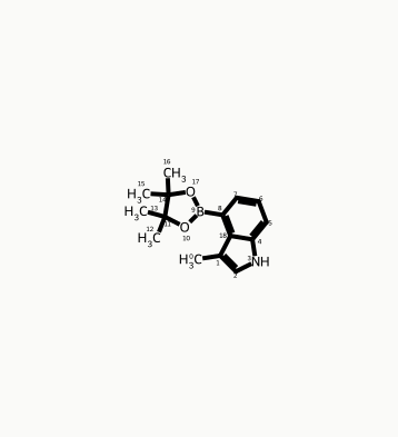 Cc1c[nH]c2cccc(B3OC(C)(C)C(C)(C)O3)c12